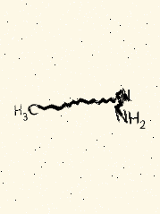 CCCCCCCCCCCCCCCC=C[N+]1(CCN)C=NCC1